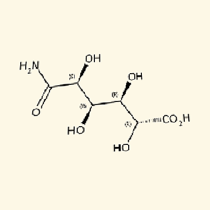 NC(=O)[C@@H](O)[C@H](O)[C@@H](O)[C@@H](O)C(=O)O